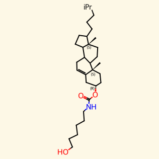 CC(C)CCCC1CCC2C3CC=C4C[C@H](OC(=O)NCCCCCCO)CC[C@@]4(C)C3CC[C@@]12C